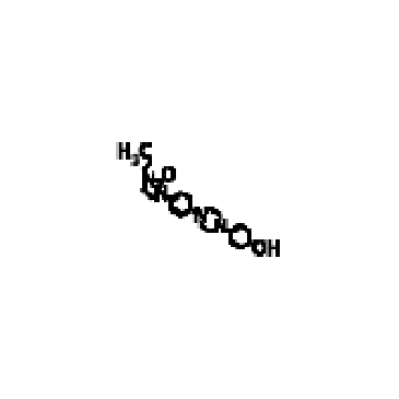 CCCN1CCN(c2ccc(N3CCN(c4ccc(O)cc4)CC3)cc2)C1=O